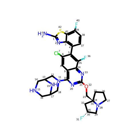 Nc1nc2c(-c3c(Cl)cc4c(N5CC6CNCC(C5)N6)nc(OC[C@@]56CCCN5C[C@H](F)C6)nc4c3F)ccc(F)c2s1